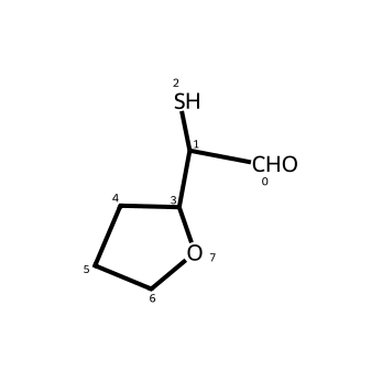 O=CC(S)C1CCCO1